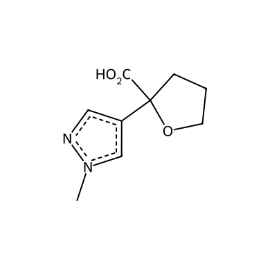 Cn1cc(C2(C(=O)O)CCCO2)cn1